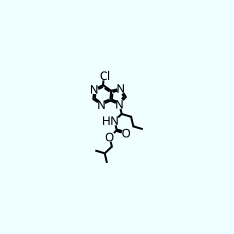 CCCC(NC(=O)OCC(C)C)n1cnc2c(Cl)ncnc21